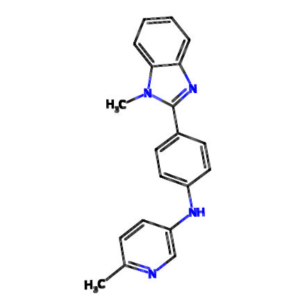 Cc1ccc(Nc2ccc(-c3nc4ccccc4n3C)cc2)cn1